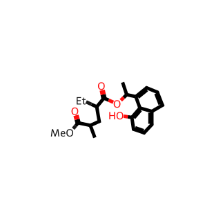 CCC(CC(C)C(=O)OC)C(=O)OC(C)c1cccc2cccc(O)c12